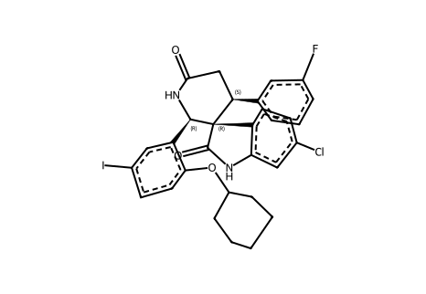 O=C1C[C@@H](c2cccc(F)c2)[C@]2(C(=O)Nc3cc(Cl)ccc32)[C@@H](c2cc(I)ccc2OC2CCCCC2)N1